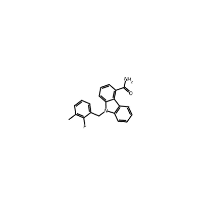 Cc1cccc(Cn2c3ccc[c]c3c3c(C(N)=O)cccc32)c1F